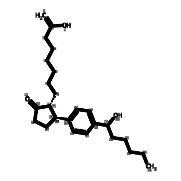 C=C(O)CCCCCC[C@H]1C(=O)CC[C@@H]1c1ccc(C(O)CCCCC)cc1